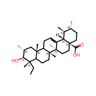 CC[C@@]1(C)C2CC[C@]3(C)C(CC=C4[C@@H]5[C@@H](C)[C@H](C)CC[C@]5(C(=O)O)CC[C@]43C)[C@@]2(C)C[C@@H](C)[C@@H]1O